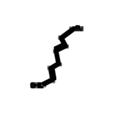 CCCCC/C=C/C/C=C/C=O